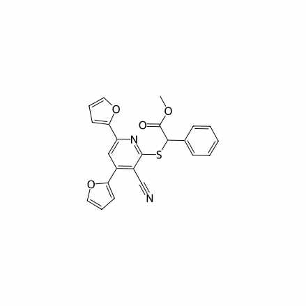 COC(=O)C(Sc1nc(-c2ccco2)cc(-c2ccco2)c1C#N)c1ccccc1